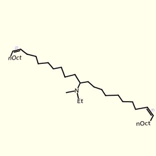 CCCCCCCC/C=C\CCCCCCCCC(CCCCCCCC/C=C\CCCCCCCC)N(C)CC